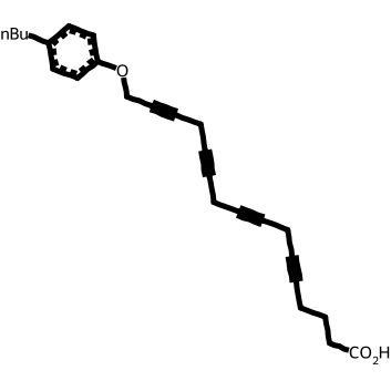 CCCCc1ccc(OCC#CCC#CCC#CCC#CCCCC(=O)O)cc1